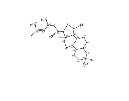 CCC1CC(C(=O)CN(N)/N=C(/C)N)C2(C)CCC3C4CCC(C)(O)CC4CCC3C12